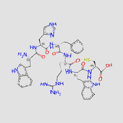 N=C(N)NCCC[C@H](NC(=O)[C@@H](Cc1ccccc1)NC(=O)[C@H](Cc1c[nH]cn1)NC(=O)[C@@H](N)Cc1c[nH]c2ccccc12)C(=O)N[C@@H](Cc1c[nH]c2ccccc12)C(=O)N[C@@H](CS)C(=O)O